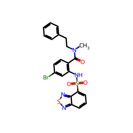 CN(CCc1ccccc1)C(=O)c1ccc(Br)cc1NS(=O)(=O)c1cccc2nsnc12